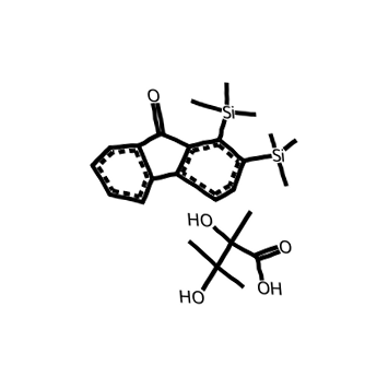 CC(C)(O)C(C)(O)C(=O)O.C[Si](C)(C)c1ccc2c(c1[Si](C)(C)C)C(=O)c1ccccc1-2